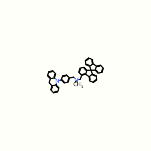 CN(Cc1ccc(N2c3ccccc3Cc3ccccc32)cc1)Cc1cccc2c1-c1ccccc1C21c2ccccc2-c2ccccc21